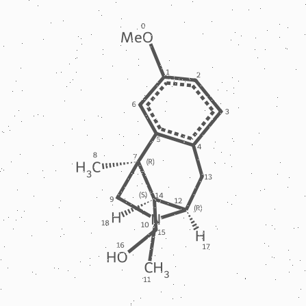 COc1ccc2c(c1)[C@]1(C)CN(C)[C@H](C2)[C@H]1CO